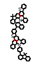 CC1(C)c2ccccc2-c2c(N(c3ccccc3-c3ccc4sc5ccccc5c4c3)c3ccc(-c4ccc5sc6ccc(-c7ccccc7N(c7ccc(-c8cccc9c8C(C)(C)c8ccccc8-9)cc7)c7cccc8ccccc78)cc6c5c4)c4ccccc34)cccc21